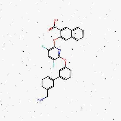 NCc1cccc(-c2cccc(Oc3nc(Oc4cc5ccccc5cc4C(=O)O)c(F)cc3F)c2)c1